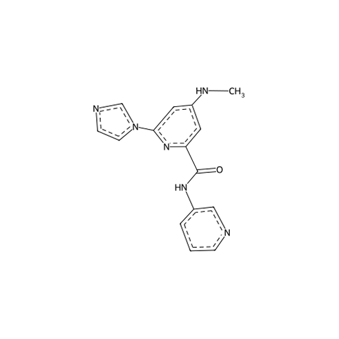 CNc1cc(C(=O)Nc2cccnc2)nc(-n2ccnc2)c1